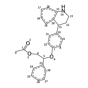 CC(=O)OCC(Oc1ccc(C2CCNc3ccccc32)cc1)c1ccccc1